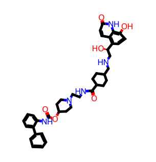 O=C(Nc1ccccc1-c1ccccc1)OC1CCN(CCNC(=O)C2CCC(CNC[C@@H](O)c3ccc(O)c4[nH]c(=O)ccc34)CC2)CC1